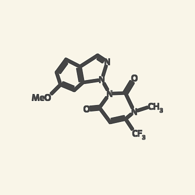 COc1ccc2cnn(-n3c(=O)cc(C(F)(F)F)n(C)c3=O)c2c1